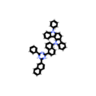 c1ccc(-c2nc(-c3ccc4ccccc4c3)nc(-c3cccc4c(-n5c6ccccc6c6ccc7c(c8ccccc8n7-c7ccccc7)c65)cccc34)n2)cc1